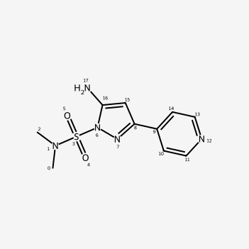 CN(C)S(=O)(=O)n1nc(-c2ccncc2)cc1N